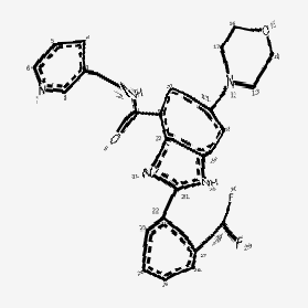 O=C(Nc1cccnc1)c1cc(N2CCOCC2)cc2[nH]c(-c3ccccc3C(F)F)nc12